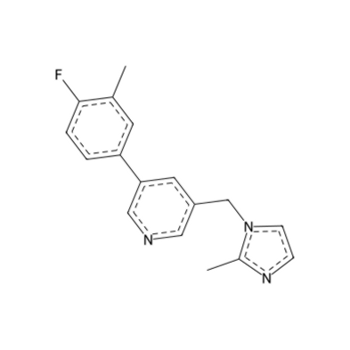 Cc1cc(-c2cncc(Cn3ccnc3C)c2)ccc1F